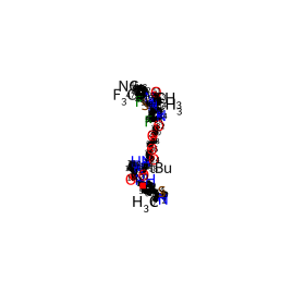 Cc1ncsc1-c1ccc(CNC(=O)C2CCCN2C(=O)C(NC(=O)COCCOCCOc2ncc(N3C(=S)N(c4ccc(C#N)c(C(F)(F)F)c4F)C(=O)C3(C)C)cc2F)C(C)(C)C)cc1